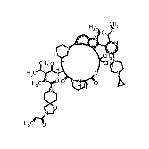 C=CC(=O)N1COC2(CCN(C(=O)N(C)[C@H](C(=O)N[C@H]3C[C@H]4CN(CCO4)c4ccc5c(c4)c(c(-c4cc(N6CCN(C7CC7)CC6)cnc4[C@H](C)OC)n5CC)CC(C)(C)COC(=O)[C@@H]4CCCN(N4)C3=O)C(C)C)CC2)C1